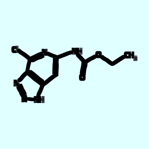 CCOC(=O)Nc1cc2[nH]nnc2c(Cl)n1